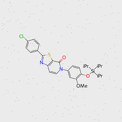 COc1cc(-n2ccc3nc(-c4ccc(Cl)cc4)sc3c2=O)ccc1O[Si](C(C)C)(C(C)C)C(C)C